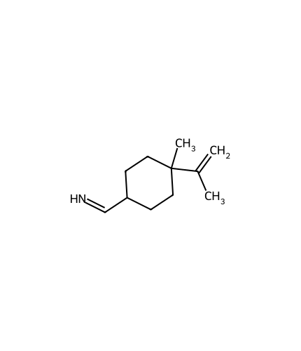 C=C(C)C1(C)CCC(C=N)CC1